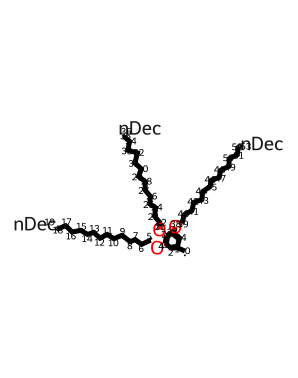 [CH2]c1cc(OCCCCCCCCCCCCCCCCCCCCCCCC)c(OCCCCCCCCCCCCCCCCCCCCCCCC)c(OCCCCCCCCCCCCCCCCCCCCCCCC)c1